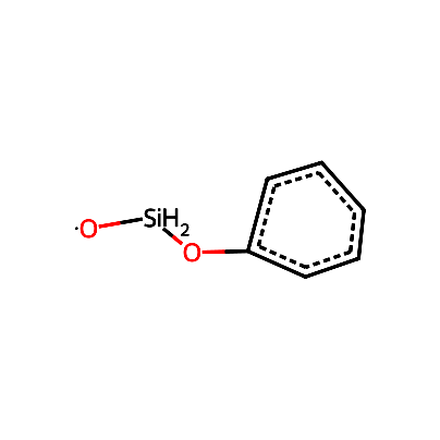 [O][SiH2]Oc1ccccc1